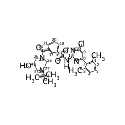 Cc1cccc(C)c1-c1cc(Cl)nc(NS(=O)(=O)c2cccc(C(=O)N3CCN(C(C)(C)C)C[C@@H](O)C3)c2)n1